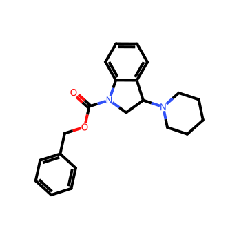 O=C(OCc1ccccc1)N1CC(N2CCCCC2)c2ccccc21